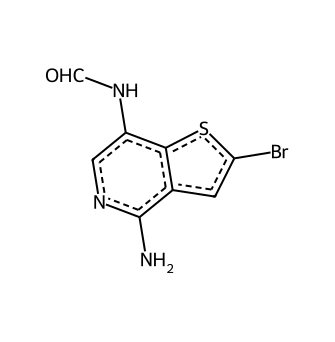 Nc1ncc(NC=O)c2sc(Br)cc12